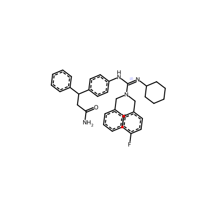 NC(=O)CC(c1ccccc1)c1ccc(N/C(=N/C2CCCCC2)N(Cc2ccc(F)cc2)Cc2ccccn2)cc1